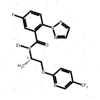 CCN(C(=O)c1cc(F)ccc1-n1nccn1)[C@@H](C)COc1ccc(C(F)(F)F)cn1